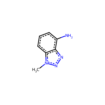 Cn1nnc2c(N)cccc21